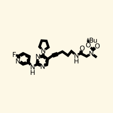 CN(CC(=O)NCCCC#Cc1cnc(Nc2ccc(F)nc2)nc1N1CCCC1)C(=O)OC(C)(C)C